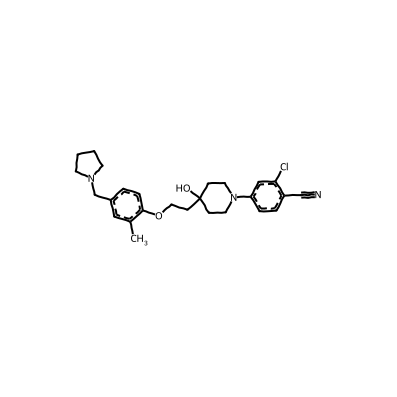 Cc1cc(CN2CCCC2)ccc1OCCC1(O)CCN(c2ccc(C#N)c(Cl)c2)CC1